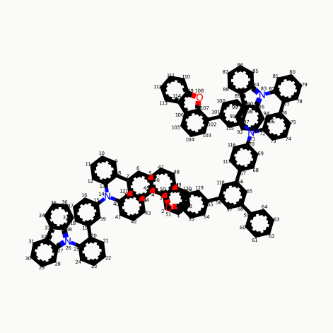 c1ccc(-c2ccc(-c3ccccc3N(c3cccc(-c4ccccc4-n4c5ccccc5c5ccccc54)c3)c3cccc(-c4cccc5c4oc4ccc(-c6cc(-c7ccccc7)cc(-c7ccc(N(c8cccc(-c9ccccc9-n9c%10ccccc%10c%10ccccc%109)c8)c8cccc(-c9cccc%10c9oc9ccccc9%10)c8)cc7)c6)cc45)c3)cc2)cc1